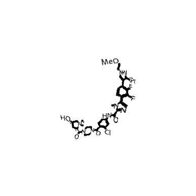 COCCn1cc(-c2ccc(-c3cnc(C(=O)Nc4ccc(C(=O)N5CCN(C(=O)[C@@H]6C[C@@H](O)C[N+]6(C)C)CC5)c(Cl)c4)n3C)c(F)c2F)c(C(C)C)n1